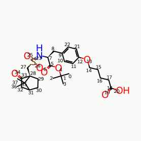 CC(C)(C)OC(=O)[C@H](Cc1ccc(OCCCCC(=O)O)cc1)NS(=O)(=O)C[C@]12CCC(CC1=O)C2(C)C